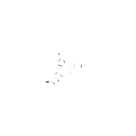 COC(=O)N[C@H]1CN(c2cc(C#N)cc(Nc3nc(NC4CC4)c4ncc(C#N)n4n3)c2Cl)C[C@@H]1OC